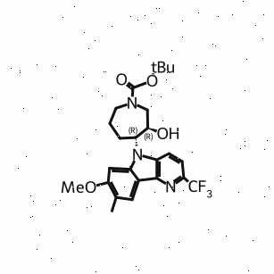 COc1cc2c(cc1C)c1nc(C(F)(F)F)ccc1n2[C@@H]1CCCN(C(=O)OC(C)(C)C)C[C@H]1O